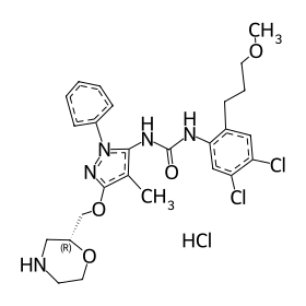 COCCCc1cc(Cl)c(Cl)cc1NC(=O)Nc1c(C)c(OC[C@H]2CNCCO2)nn1-c1ccccc1.Cl